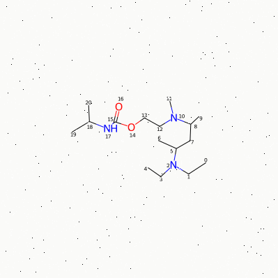 CCN(CC)C(C)CC(C)N(C)CCOC(=O)NC(C)C